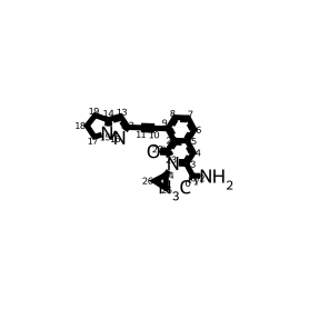 C[C@H](N)c1cc2cccc(C#Cc3cc4n(n3)CCC4)c2c(=O)n1C1CC1